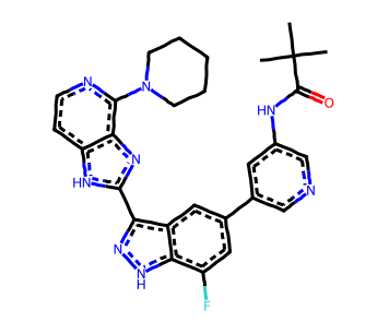 CC(C)(C)C(=O)Nc1cncc(-c2cc(F)c3[nH]nc(-c4nc5c(N6CCCCC6)nccc5[nH]4)c3c2)c1